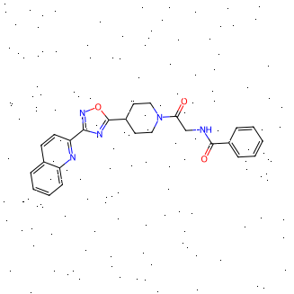 O=C(NCC(=O)N1CCC(c2nc(-c3ccc4ccccc4n3)no2)CC1)c1ccccc1